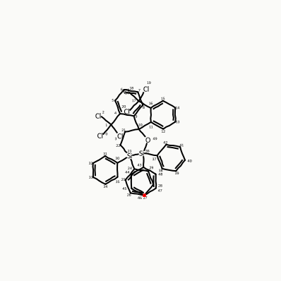 ClC(Cl)(Cl)c1ccccc1C1(c2ccccc2C(Cl)(Cl)Cl)CC[Si](c2ccccc2)(c2ccccc2)[Si](c2ccccc2)(c2ccccc2)O1